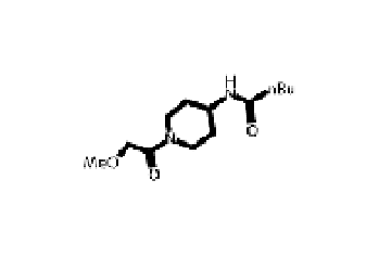 CCCCC(=O)NC1CCN(C(=O)COC)CC1